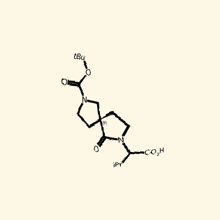 CC(C)C(C(=O)O)N1CC[C@]2(CCN(C(=O)OC(C)(C)C)C2)C1=O